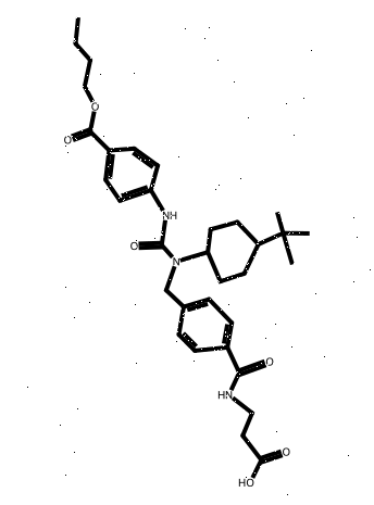 CCCCOC(=O)c1ccc(NC(=O)N(Cc2ccc(C(=O)NCCC(=O)O)cc2)C2CCC(C(C)(C)C)CC2)cc1